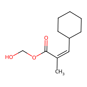 CC(=CC1CCCCC1)C(=O)OCO